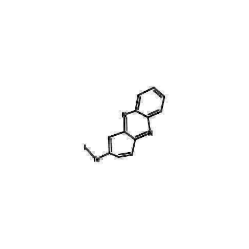 I[Te]c1ccc2nc3ccccc3nc2c1